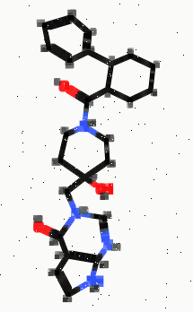 O=C(C1CCCCC1c1ccccc1)N1CCC(O)(Cn2cnc3[nH]ccc3c2=O)CC1